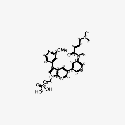 COc1cc(-c2cn(COP(=O)(O)O)c3ncc(-c4cncc(N(C)C(=O)/C=C/CN(C)C)c4)cc23)ccn1